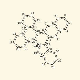 c1ccc2cc3c(cc2c1)c1c2ccccc2c2ccccc2c1n1cc2ccccc2c31